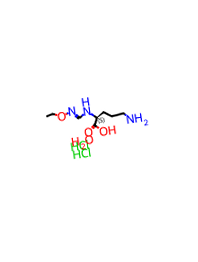 CCON=CN[C@@H](CCCN)C(=O)O.Cl.Cl.O